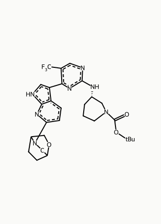 CC(C)(C)OC(=O)N1CCC[C@H](Nc2ncc(C(F)(F)F)c(-c3c[nH]c4nc(N5CC6CCC5CO6)ccc34)n2)C1